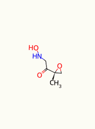 C[C@]1(C(=O)CNO)CO1